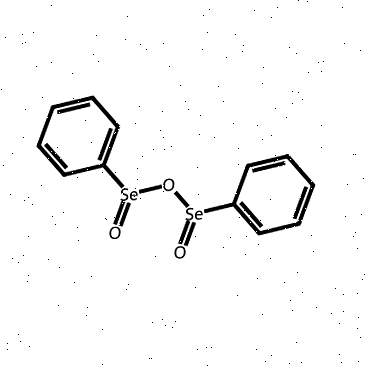 O=[Se](O[Se](=O)c1ccccc1)c1ccccc1